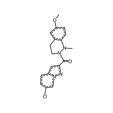 COc1ccc2c(c1)CCN(C(=O)c1cc3ccc(Cl)cn3n1)N2C